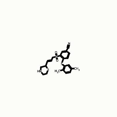 Cc1ccc(C)c(Sc2ccc(C#N)cc2S(=O)(=O)CC=CC2CNCCS2)c1